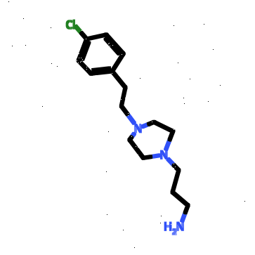 NCCCN1CCN(CCc2ccc(Cl)cc2)CC1